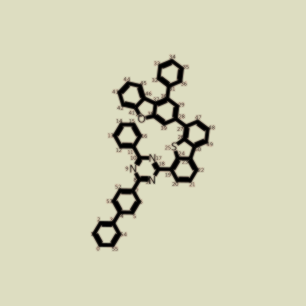 c1ccc(-c2ccc(-c3nc(-c4ccccc4)nc(-c4cccc5c4sc4c(-c6cc(-c7ccccc7)c7c(c6)oc6ccccc67)cccc45)n3)cc2)cc1